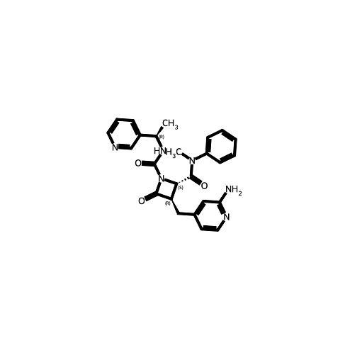 C[C@@H](NC(=O)N1C(=O)[C@H](Cc2ccnc(N)c2)[C@H]1C(=O)N(C)c1ccccc1)c1cccnc1